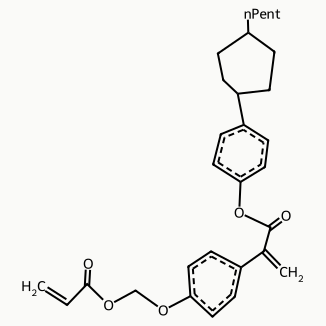 C=CC(=O)OCOc1ccc(C(=C)C(=O)Oc2ccc(C3CCC(CCCCC)CC3)cc2)cc1